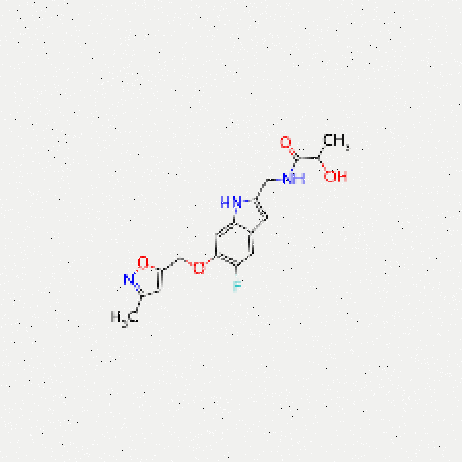 Cc1cc(COc2cc3[nH]c(CNC(=O)C(C)O)cc3cc2F)on1